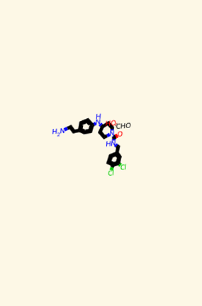 NCCc1ccc(NC2CCN(C(=O)NCc3ccc(Cl)c(Cl)c3)CC2)cc1.O=CO